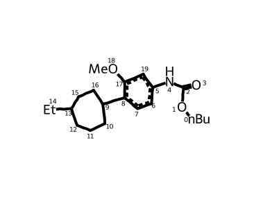 CCCCOC(=O)Nc1ccc(C2CCCC(CC)CC2)c(OC)c1